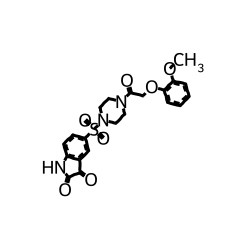 COc1ccccc1OCC(=O)N1CCN(S(=O)(=O)c2ccc3c(c2)C(=O)C(=O)N3)CC1